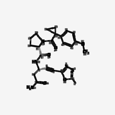 Cc1nnc(C#C[C@H](CC(N)=O)NC(=O)[C@@H]2CCCN2C(=O)C2(c3ccc(OC(F)(F)F)cc3)CC2)o1